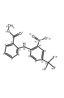 COC(=O)c1ccccc1Nc1ccc(C(F)(F)F)cc1[N+](=O)[O-]